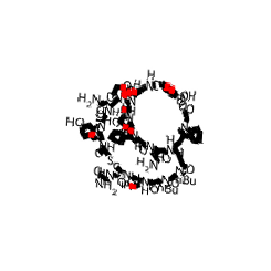 CCCC[C@H]1C(=O)N(C)[C@@H](CCCC)C(=O)N[C@@H](CC(C)C)C(=O)N[C@H](C(=O)NCC(N)=O)CSCC(=O)N[C@@H](Cc2ccc(O)cc2)C(=O)N(C)[C@@H](C)C(=O)N[C@@H](CC(N)=O)C(=O)N2CCC[C@H]2C(=O)N[C@H]2CNCc3ccc(cc3)B(O)OC(=O)Cn3cc(c4ccccc43)C[C@H](NC(=O)[C@H](CCN)NC(=O)[C@H](Cc3c[nH]c4ccccc34)NC(=O)[C@@H]3C[C@@H](O)CN3C(=O)[C@H](CC(C)C)NC2=O)C(=O)N1C